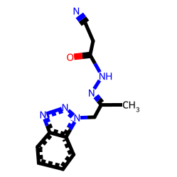 CC(Cn1nnc2ccccc21)=NNC(=O)CC#N